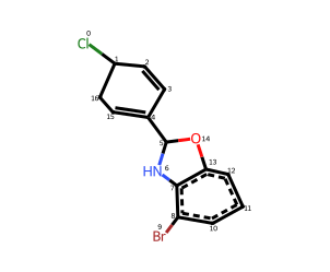 ClC1C=CC(C2Nc3c(Br)cccc3O2)=CC1